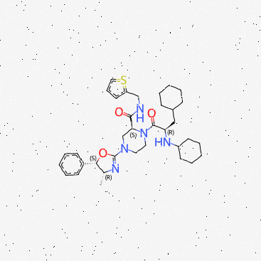 C[C@H]1N=C(N2CCN(C(=O)[C@@H](CC3CCCCC3)NC3CCCCC3)[C@H](C(=O)NCc3cccs3)C2)O[C@H]1c1ccccc1